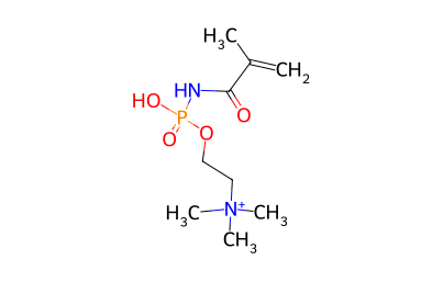 C=C(C)C(=O)NP(=O)(O)OCC[N+](C)(C)C